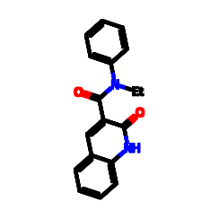 CCN(C(=O)c1cc2ccccc2[nH]c1=O)c1ccccc1